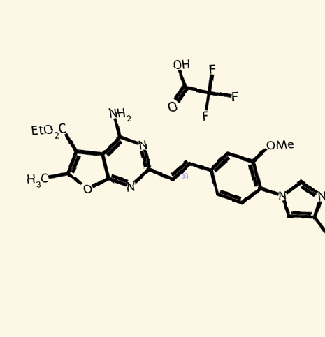 CCOC(=O)c1c(C)oc2nc(/C=C/c3ccc(-n4cnc(C)c4)c(OC)c3)nc(N)c12.O=C(O)C(F)(F)F